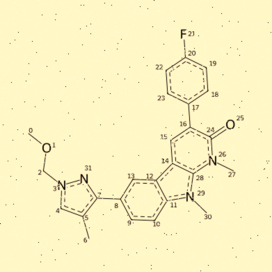 COCn1cc(C)c(-c2ccc3c(c2)c2cc(-c4ccc(F)cc4)c(=O)n(C)c2n3C)n1